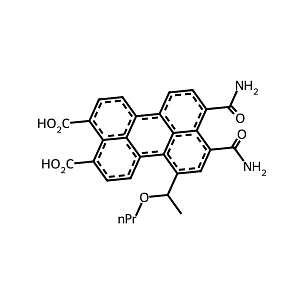 CCCOC(C)c1cc(C(N)=O)c2c(C(N)=O)ccc3c4ccc(C(=O)O)c5c(C(=O)O)ccc(c1c23)c54